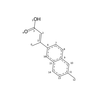 C/C(=C\C(=O)O)c1ccc2cc(C)ccc2c1